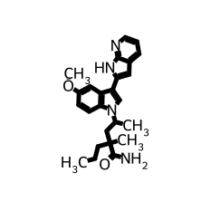 CCCC(C)(CC(C)n1cc(-c2cc3cccnc3[nH]2)c2cc(OC)ccc21)C(N)=O